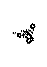 C[C@@H]1CCN(C(=O)OCc2cccc3cnc([C@@H](COCc4ccccc4)NC(=O)C(C)(C)N)n23)C1